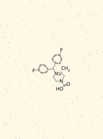 C[C@@H]1CN(C(=O)O)CCN1C(c1ccc(F)cc1)c1ccc(F)cc1